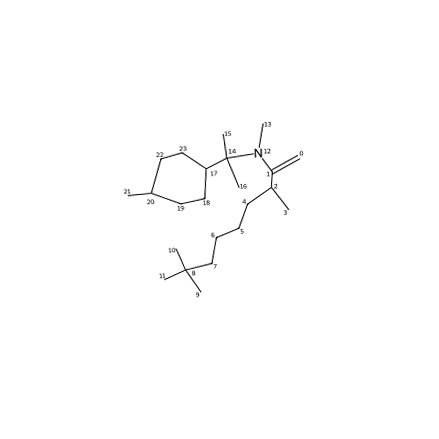 C=C(C(C)CCCCC(C)(C)C)N(C)C(C)(C)C1CCC(C)CC1